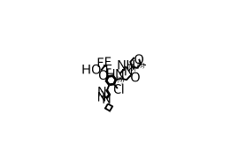 C[C@H]1C[C@@H](N2C(=N)N[C@](C)(c3cccc(-c4cn(C5CCC5)nn4)c3Cl)CC2=O)CCO1.O=C(O)C(F)(F)F